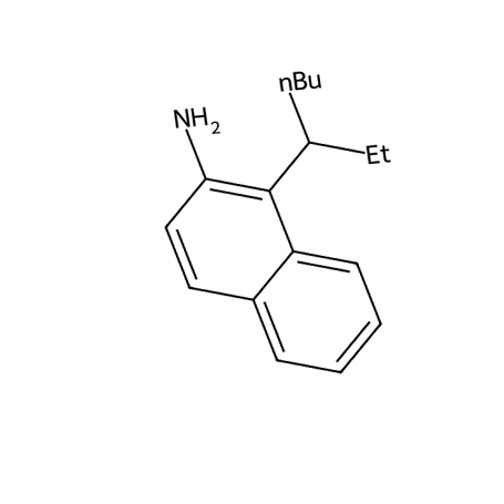 CCCCC(CC)c1c(N)ccc2ccccc12